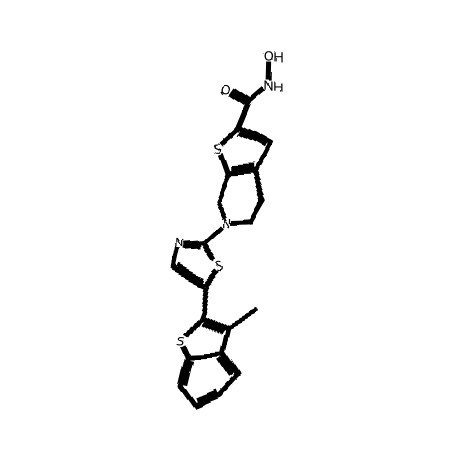 Cc1c(-c2cnc(N3CCc4cc(C(=O)NO)sc4C3)s2)sc2ccccc12